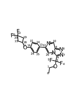 CCOC(F)(F)c1nnc2cnc(-c3ccc(OC4CC(F)(F)C4)cc3)cn12